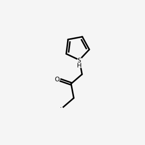 [CH2]CC(=O)C[SH]1C=CC=C1